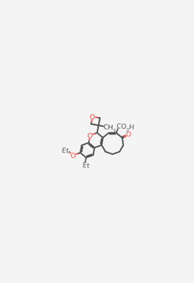 CCOc1cc2c(cc1CC)C1=C(/C=C(/C(=O)O)C(=O)CCCC1)C(C1(C)COC1)O2